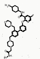 CC(C)NC(=O)CN1CCN(Cc2ccc(-c3cccc(Oc4ncc(F)cc4C(=O)NC4CCC(N)CC4)c3)c(CN3CCOCC3)c2)CC1